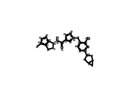 CCc1nc(N2CC3CC3C2)ccc1Cn1cc(C(=O)N[C@@H]2CCc3c2ncn3C)cn1